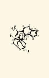 CO[C@]12CC3C[C@H](C1)[C@@H](Nc1c(C(N)=O)cnc4[nH]cnc14)[C@@H](C3)C2